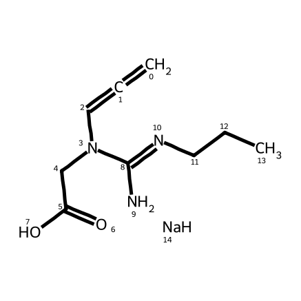 C=C=CN(CC(=O)O)C(N)=NCCC.[NaH]